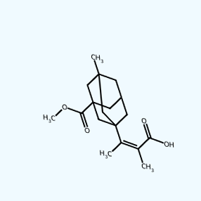 COC(=O)C12CC3CC(C)(C1)CC(C(C)=C(C)C(=O)O)(C3)C2